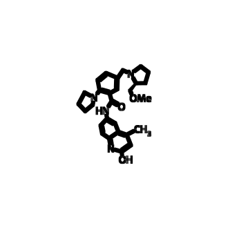 COC[C@@H]1CCCN1Cc1ccc(N2CCCC2)c(C(=O)Nc2ccc3nc(O)cc(C)c3c2)c1